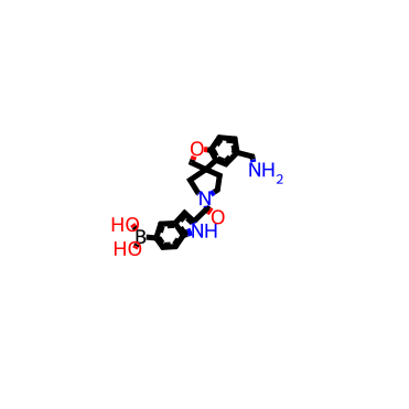 NCc1ccc2c(c1)C1(CCN(C(=O)c3cc4cc(B(O)O)ccc4[nH]3)CC1)CO2